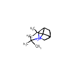 CC(C)C1(N)C2CC1CN(C(C)(C)C)C2